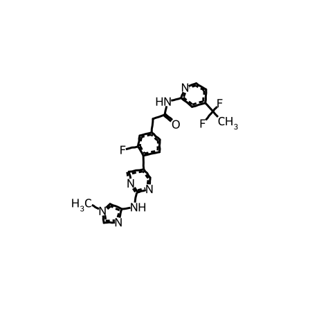 Cn1cnc(Nc2ncc(-c3ccc(CC(=O)Nc4cc(C(C)(F)F)ccn4)cc3F)cn2)c1